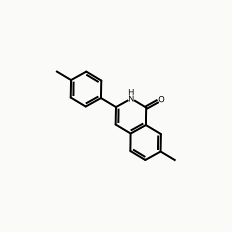 Cc1ccc(-c2cc3ccc(C)cc3c(=O)[nH]2)cc1